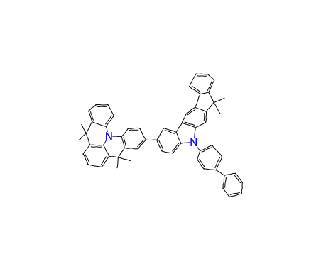 CC1(C)c2ccccc2-c2cc3c4cc(-c5ccc6c(c5)C(C)(C)c5cccc7c5N6c5ccccc5C7(C)C)ccc4n(-c4ccc(-c5ccccc5)cc4)c3cc21